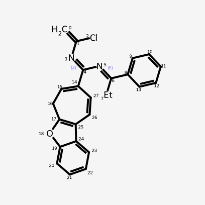 C=C(Cl)/N=C(\N=C(/CC)c1ccccc1)C1=CCc2oc3ccccc3c2C=C1